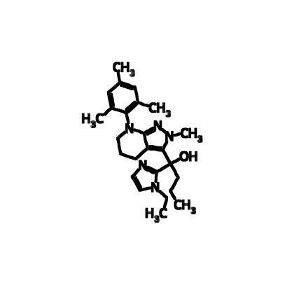 CCCC(O)(c1nccn1CC)c1c2c(nn1C)N(c1c(C)cc(C)cc1C)CCC2